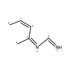 C/C=C\C(C)=N/C=N